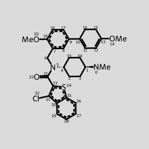 CN[C@H]1CC[C@H](N(Cc2cc(C3=CC=C(OC)CC3)ccc2OC)C(=O)c2sc3ccccc3c2Cl)CC1